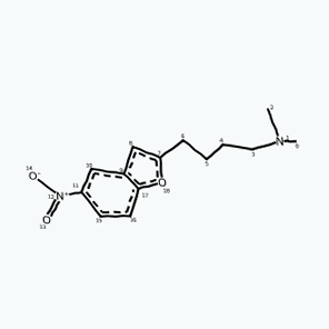 CN(C)CCCCc1cc2cc([N+](=O)[O-])ccc2o1